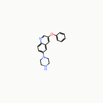 c1ccc(Oc2cnc3ccc(N4CCNCC4)cc3c2)cc1